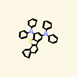 c1ccc(N(c2ccccc2)c2cc(N(c3ccccc3)c3ccccc3)c3sc4c5ccccc5ccc4c3c2)cc1